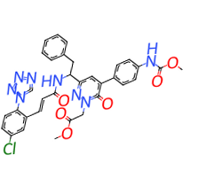 COC(=O)Cn1nc(C(Cc2ccccc2)NC(=O)C=Cc2cc(Cl)ccc2-n2cnnn2)cc(-c2ccc(NC(=O)OC)cc2)c1=O